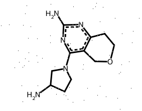 Nc1nc2c(c(N3CCC(N)C3)n1)COCC2